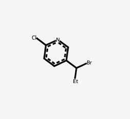 CCC(Br)c1ccc(Cl)nc1